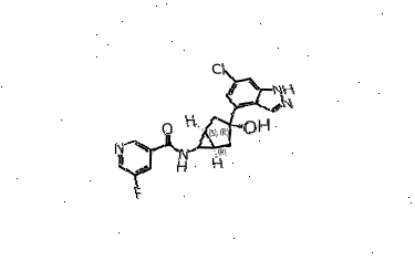 O=C(NC1[C@H]2C[C@](O)(c3cc(Cl)cc4[nH]ncc34)C[C@@H]12)c1cncc(F)c1